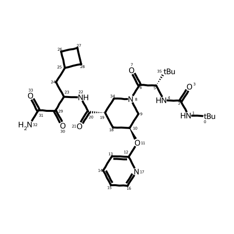 CC(C)(C)NC(=O)N[C@H](C(=O)N1C[C@@H](Oc2ccccn2)C[C@H](C(=O)NC(CC2CCC2)C(=O)C(N)=O)C1)C(C)(C)C